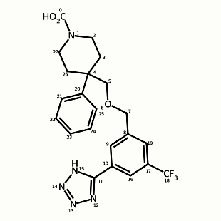 O=C(O)N1CCC(COCc2cc(-c3nnn[nH]3)cc(C(F)(F)F)c2)(c2ccccc2)CC1